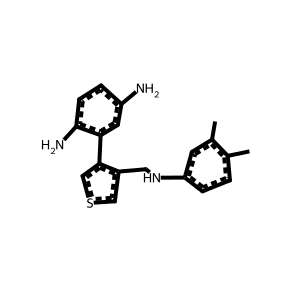 Cc1ccc(NCc2cscc2-c2cc(N)ccc2N)cc1C